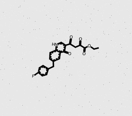 CCOC(=O)C(=O)CC(=O)c1c[nH]c2ccc(Cc3ccc(F)cc3)cc2c1=O